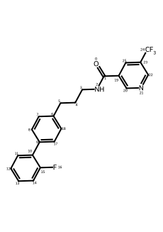 O=C(NCCCc1ccc(-c2ccccc2F)cc1)c1cncc(C(F)(F)F)c1